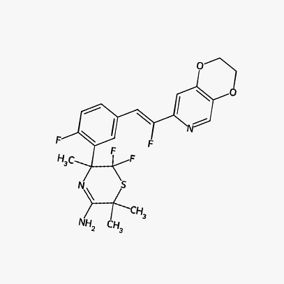 CC1(C)SC(F)(F)C(C)(c2cc(C=C(F)c3cc4c(cn3)OCCO4)ccc2F)N=C1N